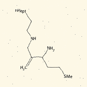 C=C(CNCCCCCCCCC)C(N)CCSC